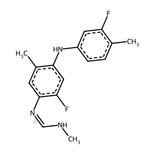 CN/C=N\c1cc(C)c(Nc2ccc(C)c(F)c2)cc1F